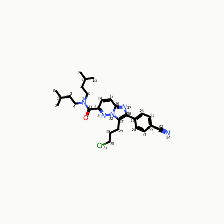 CC(C)CCN(CCC(C)C)C(=O)c1ccc2nc(-c3ccc(C#N)cc3)c(CCCCl)n2n1